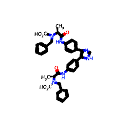 C[C@@H](C(=O)Nc1ccc(-c2nc[nH]c2-c2ccc(NC(=O)[C@H](C)N(Cc3ccccc3)C(=O)O)cc2)cc1)N(Cc1ccccc1)C(=O)O